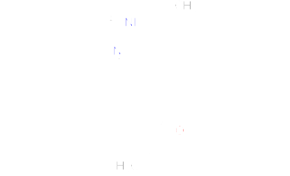 CCCC(=O)c1ccc(C(CCC)c2ncc[nH]2)cc1